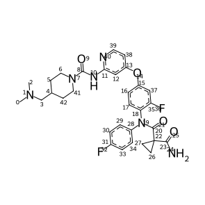 CN(C)CC1CCN(C(=O)Nc2cc(Oc3ccc(N(C(=O)C4(C(N)=O)CC4)c4ccc(F)cc4)c(F)c3)ccn2)CC1